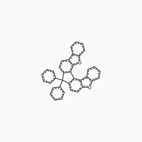 c1ccc(C2(c3ccccc3)c3ccc4c(oc5ccccc54)c3-c3c2ccc2oc4ccccc4c32)cc1